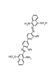 CCCc1cc(-c2ccc(/N=N/c3cc(S(=O)(=O)O)c4ccccc4c3N)c(CCC)c2)ccc1/N=N/c1cc(S(=O)(=O)O)c2ccccc2c1N